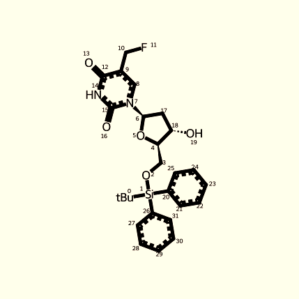 CC(C)(C)[Si](OC[C@H]1O[C@@H](n2cc(CF)c(=O)[nH]c2=O)C[C@@H]1O)(c1ccccc1)c1ccccc1